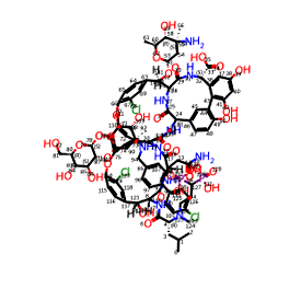 CC(C)C[C@H](C(=O)N[C@H]1C(=O)N[C@@H](CC(N)=O)C(=O)N[C@H]2C(=O)N[C@H]3C(=O)N[C@H](C(=O)N[C@H](C(=O)O)c4cc(O)cc(O)c4-c4cc3ccc4O)[C@H](O[C@H]3C[C@](C)(N)[C@@H](O)[C@H](C)O3)c3ccc(c(Cl)c3)Oc3cc2cc(c3O[C@@H]2O[C@H](CO)[C@@H](O)[C@H](O)[C@H]2O[C@H]2C[C@](C)(NCc3ccc(-c4ccc(Cl)cc4)cc3)[C@@H](O)[C@H](C)O2)Oc2ccc(cc2Cl)[C@H]1O)N(C)CCC(P(=O)(O)O)P(=O)(O)O